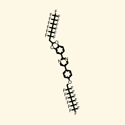 FC(F)(F)C(F)(F)C(F)(F)C(F)(F)C(F)(F)C(F)(F)COc1ccc(-c2cnc(-c3ccc4c(c3)OC(CC(F)(F)C(F)(F)C(F)(F)C(F)(F)C(F)(F)C(F)(F)F)O4)nc2)cc1